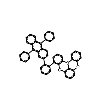 c1ccc(-c2c3ccccc3c(-c3ccccc3)c3cc(-c4ccccc4-c4cccc5c4Oc4cccc6c4B5c4ccccc4O6)ccc23)cc1